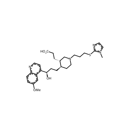 COc1ccc2nccc([C@H](O)CC[C@@H]3CCN(CCCSc4nccn4C)C[C@H]3CCC(=O)O)c2c1